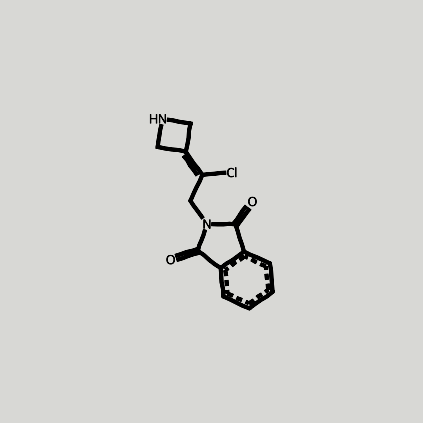 O=C1c2ccccc2C(=O)N1CC(Cl)=C1CNC1